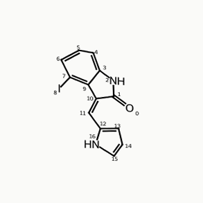 O=C1Nc2cccc(I)c2/C1=C/c1ccc[nH]1